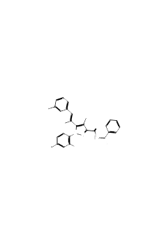 C/C(=C\c1cccc(Cl)c1)c1c(C)c(C(=O)N[C@H](C)c2ccccc2)nn1-c1ccc(Cl)cc1Cl